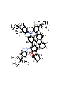 CC(C)(C)c1ccc(Nc2c3c(cc4c2oc2ccccc24)C2(c4ccccc4-c4ccccc42)c2cc(N(c4ccc(C(C)(C)C)cc4)c4ccc(C(C)(C)C)cc4)ccc2-3)cc1